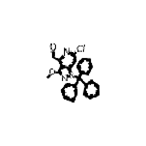 COc1nn(C(c2ccccc2)(c2ccccc2)c2ccccc2)c2cc(Cl)nc(C=O)c12